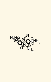 N#CC1CN1C(c1ccc(S(N)(=O)=O)cc1)(c1cc(S(N)(=O)=O)ccc1C=O)N1CC1C(N)=O